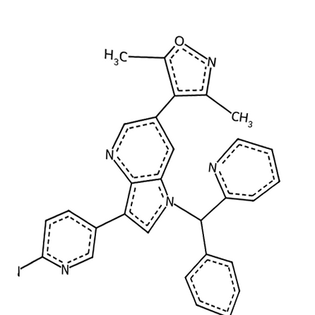 Cc1noc(C)c1-c1cnc2c(-c3ccc(N=O)nc3)cn(C(c3ccccc3)c3ccccn3)c2c1